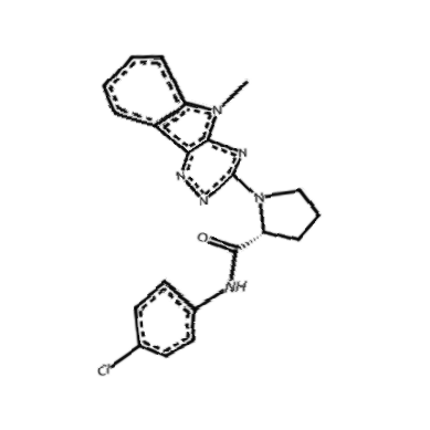 Cn1c2ccccc2c2nnc(N3CCC[C@@H]3C(=O)Nc3ccc(Cl)cc3)nc21